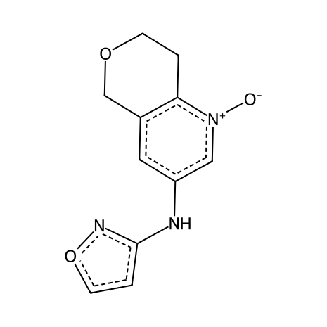 [O-][n+]1cc(Nc2ccon2)cc2c1CCOC2